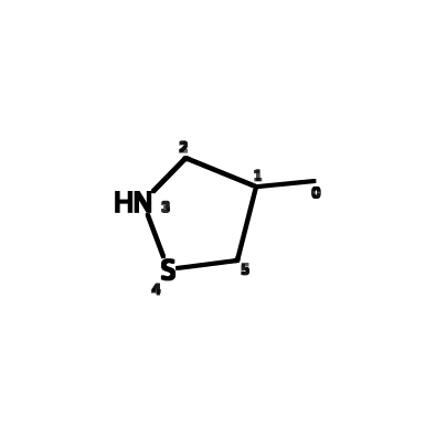 CC1CNSC1